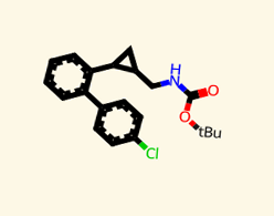 CC(C)(C)OC(=O)NCC1CC1c1ccccc1-c1ccc(Cl)cc1